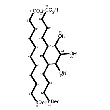 CCCCCCCCCCCCCCCCCCCC(=O)O.CCCCCCCCCCCCCCCCCCCC(=O)O.OCC(O)CO